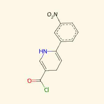 O=C(Cl)C1=CNC(c2cccc([N+](=O)[O-])c2)=CC1